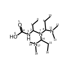 CCC(NC(=O)O)N(C(CC)N(C)C)C(CC)N(C)C